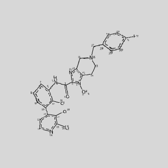 Cn1c(C(=O)Nc2cccc(-c3ccnc(Cl)c3Cl)c2Cl)nc2c1CCN(Cc1ccc(F)cc1)C2